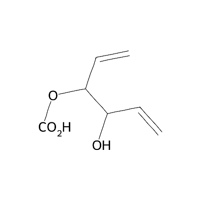 C=CC(O)C(C=C)OC(=O)O